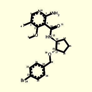 COc1c(I)cnc(N)c1C(=O)N[C@H]1CCC[C@@H]1OCc1ccc(Br)cc1